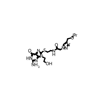 CC(C)OCc1cn(CC(=O)NCCSc2nc3c(=O)[nH]c(N)nc3n2CCO)nn1